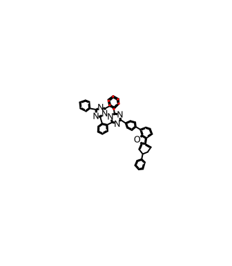 C1=c2oc3c(-c4ccc(-c5nc(-c6ccccc6)nc(-c6ccccc6-c6nc(-c7ccccc7)nc(-c7ccccc7)n6)n5)cc4)cccc3c2=CCC1c1ccccc1